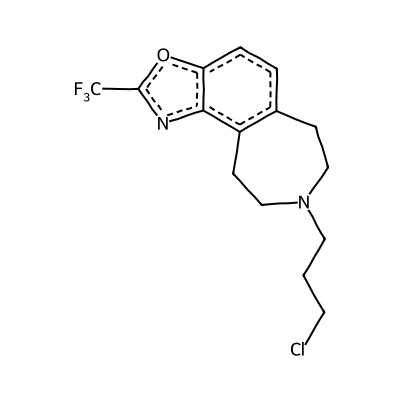 FC(F)(F)c1nc2c3c(ccc2o1)CCN(CCCCl)CC3